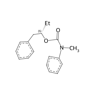 CC[C@@H](Cc1ccccc1)OC(=O)N(C)c1ccccc1